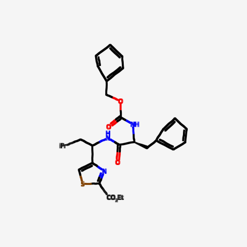 CCOC(=O)c1nc(C(CC(C)C)NC(=O)[C@H](Cc2ccccc2)NC(=O)OCc2ccccc2)cs1